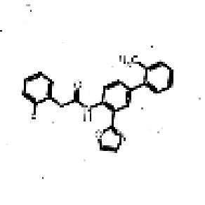 Cc1ccccc1-c1ccc(NC(=O)Cc2ccccc2F)c(-c2ncco2)c1